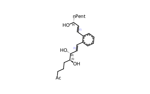 CCCCC[C@@H](O)/C=C/c1ccccc1/C=C/[C@@H](O)[C@@H](O)CCCC(C)=O